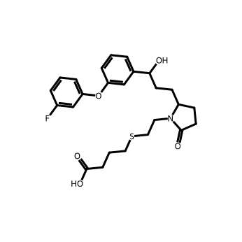 O=C(O)CCCSCCN1C(=O)CCC1CCC(O)c1cccc(Oc2cccc(F)c2)c1